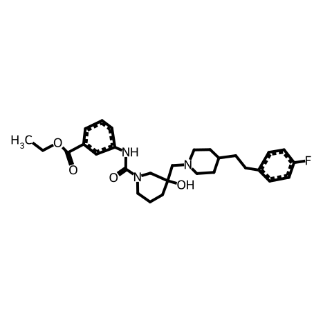 CCOC(=O)c1cccc(NC(=O)N2CCCC(O)(CN3CCC(CCc4ccc(F)cc4)CC3)C2)c1